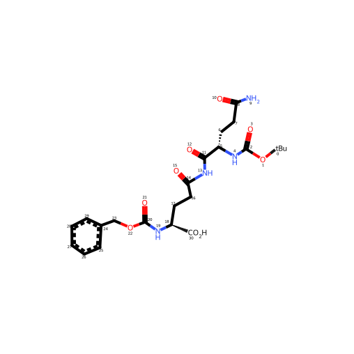 CC(C)(C)OC(=O)N[C@@H](CCC(N)=O)C(=O)NC(=O)CC[C@H](NC(=O)OCc1ccccc1)C(=O)O